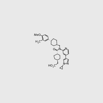 COc1ccc([C@H]2CC[C@H](CN(c3cc(-c4cnn(C5CC5)c4)ccn3)C(=O)[C@H]3CC[C@H](CC(=O)O)CC3)CC2)cc1C